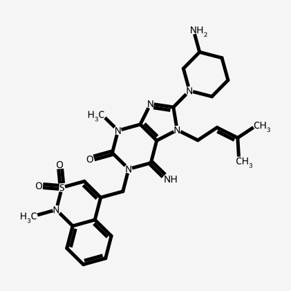 CC(C)=CCn1c(N2CCCC(N)C2)nc2c1c(=N)n(CC1=CS(=O)(=O)N(C)c3ccccc31)c(=O)n2C